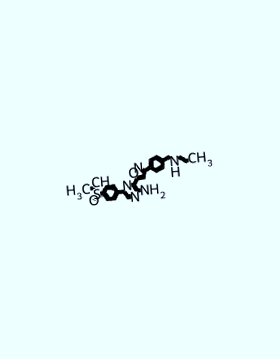 CCCNCc1ccc(-c2cc(-c3nc(-c4ccc([S+]([O-])C(C)C)cc4)cnc3N)on2)cc1